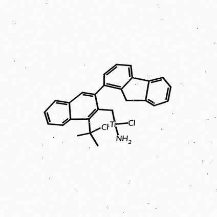 CC(C)(C)c1c([CH2][Ti]([NH2])([Cl])[Cl])c(-c2cccc3c2Cc2ccccc2-3)cc2ccccc12